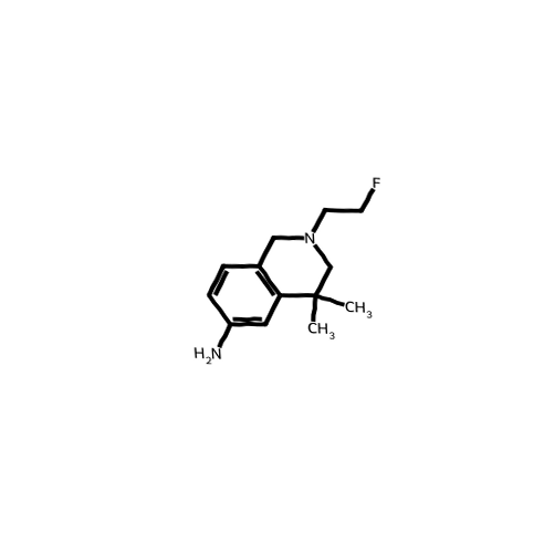 CC1(C)CN(CCF)Cc2ccc(N)cc21